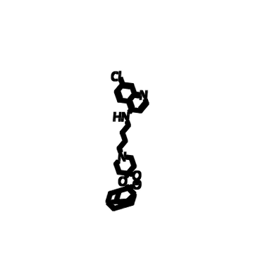 Clc1ccc2c(NCCCCN3CCC4(CC3)OOC3(O4)C4CC5CC(C4)CC3C5)ccnc2c1